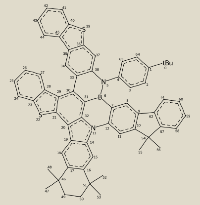 CC(C)(C)c1ccc(N2B3c4cc5c(cc4-n4c6cc7c(cc6c6c8sc9ccccc9c8c(c3c64)-c3cc4c(cc32)sc2ccccc24)C(C)(C)CCC7(C)C)C(C)(C)c2ccccc2-5)cc1